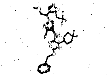 COCC(c1cnnn1CC(F)(F)F)n1cc(NC(=O)[C@@H](NC(=O)OCc2ccccc2)C2CCC(F)(F)CC2)c(F)n1